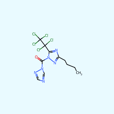 CCCCc1nc(C(Cl)(Cl)C(Cl)(Cl)Cl)n(C(=O)n2cncn2)n1